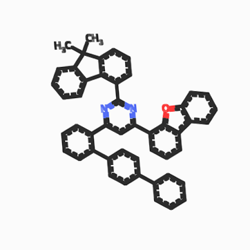 CC1(C)c2ccccc2-c2c(-c3nc(-c4ccccc4-c4ccc(-c5ccccc5)cc4)cc(-c4cccc5c4oc4ccccc45)n3)cccc21